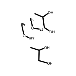 CC(O)CO.CC(O)CO.CCCOC(C)C.CCOCC